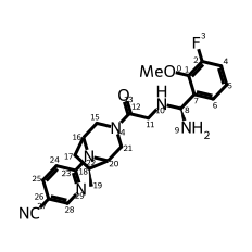 COc1c(F)cccc1[C@@H](N)NCC(=O)N1CC2C[C@H](C)C(C1)N2c1ccc(C#N)cn1